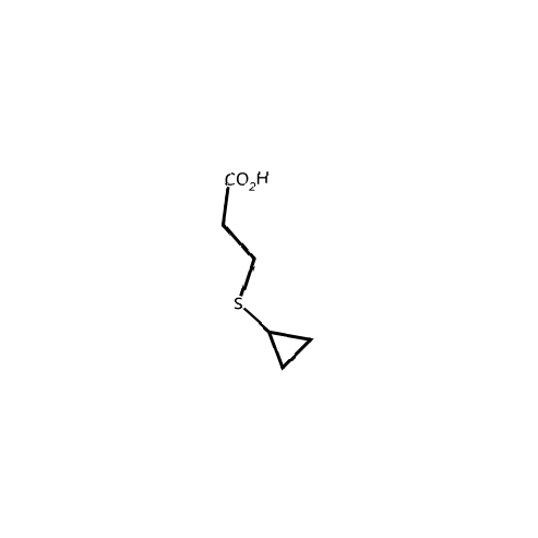 O=C(O)CCSC1CC1